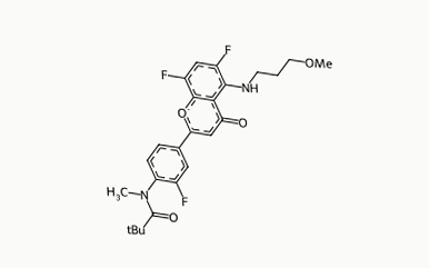 COCCCNc1c(F)cc(F)c2oc(-c3ccc(N(C)C(=O)C(C)(C)C)c(F)c3)cc(=O)c12